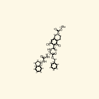 CC(C)(C)OC(=O)N1CCc2c(cc(Cl)c(C(=O)N[C@@H](CNC(=O)N[C@@H]3CCc4ccccc43)C(=O)OCc3ccccc3)c2Cl)C1